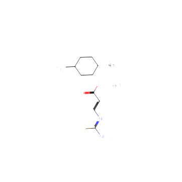 CC1CC[C@H](C(C)C)[C@H](OC(=O)C=CN=C(N)S)C1.Cl